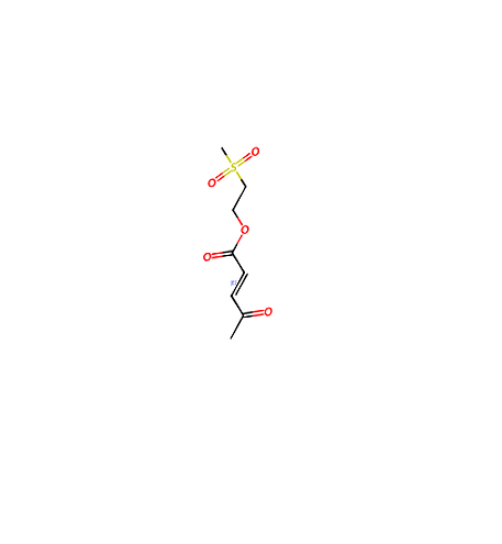 CC(=O)/C=C/C(=O)OCCS(C)(=O)=O